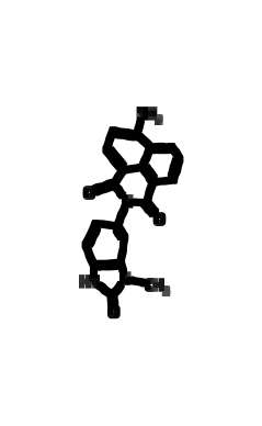 Cn1c(=O)[nH]c2ccc(N3C(=O)c4cccc5c(N)ccc(c45)C3=O)cc21